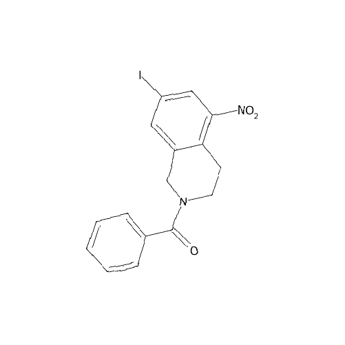 O=C(c1ccccc1)N1CCc2c(cc(I)cc2[N+](=O)[O-])C1